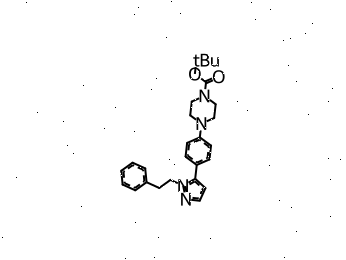 CC(C)(C)OC(=O)N1CCN(c2ccc(-c3ccnn3CCc3ccccc3)cc2)CC1